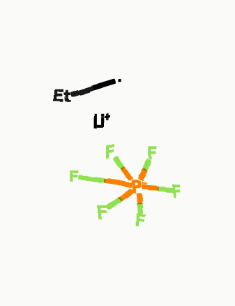 F[P-](F)(F)(F)(F)F.[CH2]CC.[Li+]